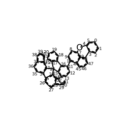 c1ccc2c(c1)Oc1ccc(-c3cccc4c3-c3ccccc3C43c4c(ccc5ccccc45)-c4ccc5ccccc5c43)c3cccc-2c13